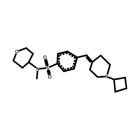 CN(C1CCOCC1)S(=O)(=O)c1ccc(C=C2CCN(C3CCC3)CC2)cc1